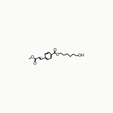 COC(=O)/C=C/c1ccc(C(=O)OCCCCCCO)cc1